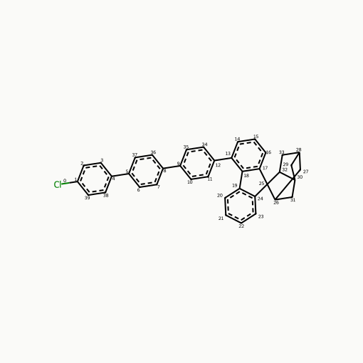 Clc1ccc(-c2ccc(-c3ccc(-c4cccc5c4-c4ccccc4C54C5CC6CC(C5)C4C6)cc3)cc2)cc1